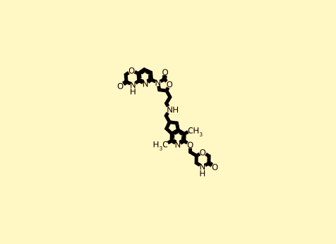 Cc1nc(OCC2CNC(=O)CO2)c(C)c2c1CC(CNCCC1CN(c3ccc4c(n3)NC(=O)CO4)C(=O)O1)C2